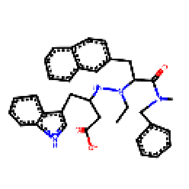 CCN(NC(CC(=O)O)Cc1c[nH]c2ccccc12)C(Cc1ccc2ccccc2c1)C(=O)N(C)Cc1ccccc1